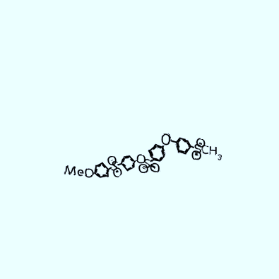 COc1ccc(S(=O)(=O)c2ccc(OS(=O)(=O)c3ccc(Oc4ccc(S(C)(=O)=O)cc4)cc3)cc2)cc1